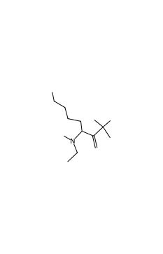 C=C(C(CCCCC)N(C)CC)C(C)(C)C